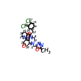 Cc1nnc(CN2CCN(C(=O)Cc3ccc(Cl)c(Cl)c3)[C@@H]3C(N4CCCC4)COCC32)o1